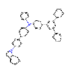 c1ccc(-c2cc(-c3ccccc3)cc(-c3ccc(N(c4ccccc4)c4ccc(-c5ccc(-n6ccc7ccccc76)cc5)cc4)cc3)c2)cc1